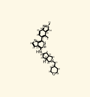 Cc1c(-c2nnc(N[C@@H]3CC4CN(CC5CCOCC5)C[C@H]4C3)c3ccsc23)ccc2nn(C)cc12